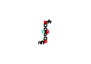 CCCOc1ccc(C2CCC3(CC2)C(=O)C2(CCC(c4ccc(OCCC)cc4)CC2)C3F)cc1